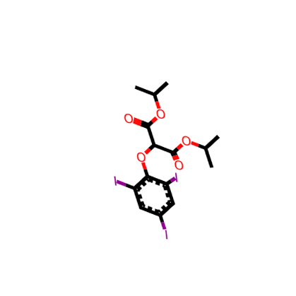 CC(C)OC(=O)C(Oc1c(I)cc(I)cc1I)C(=O)OC(C)C